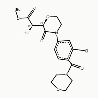 CC(C)(C)OC(=O)[C@H](O)[C@H]1OCCN(c2ccc(C(=O)N3CCOCC3)c(Cl)c2)C1=O